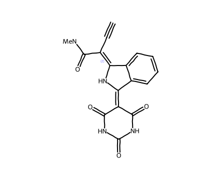 C#C/C(C(=O)NC)=c1/[nH]c(=C2C(=O)NC(=O)NC2=O)c2ccccc12